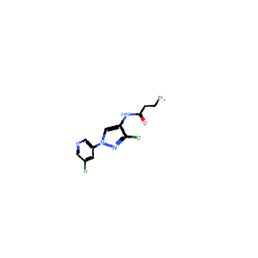 O=C(CCC(F)(F)F)Nc1cn(-c2cncc(Cl)c2)nc1Cl